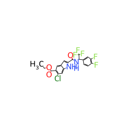 CCOC(=O)c1cc2cc(C(=O)NC(c3ccc(F)c(F)c3)C(F)(F)F)[nH]c2cc1Cl